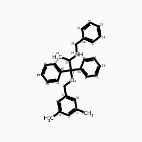 Cc1cc(C)cc(COC(c2ccccc2)(c2ccccc2)C(C)NCc2ccccc2)c1